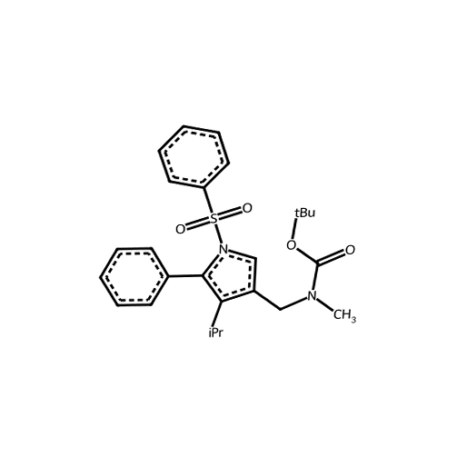 CC(C)c1c(CN(C)C(=O)OC(C)(C)C)cn(S(=O)(=O)c2ccccc2)c1-c1ccccc1